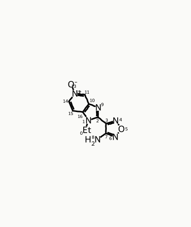 CCn1c(-c2nonc2N)nc2c[n+]([O-])ccc21